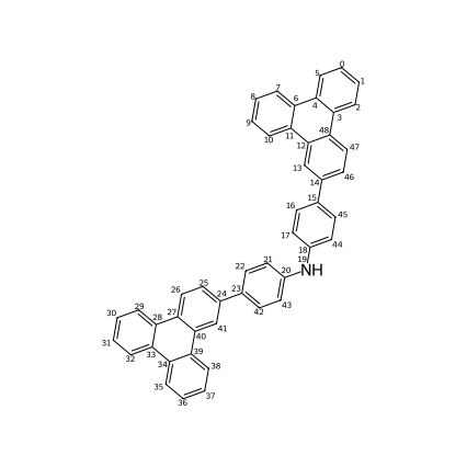 c1ccc2c(c1)c1ccccc1c1cc(-c3ccc(Nc4ccc(-c5ccc6c7ccccc7c7ccccc7c6c5)cc4)cc3)ccc21